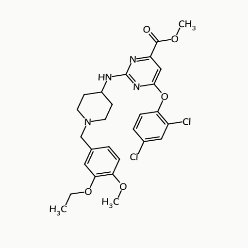 CCOc1cc(CN2CCC(Nc3nc(Oc4ccc(Cl)cc4Cl)cc(C(=O)OC)n3)CC2)ccc1OC